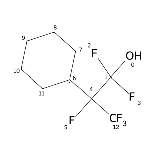 OC(F)(F)C(F)([C]1CCCCC1)C(F)(F)F